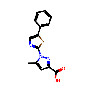 Cc1cc(C(=O)O)nn1-c1ncc(-c2ccccc2)s1